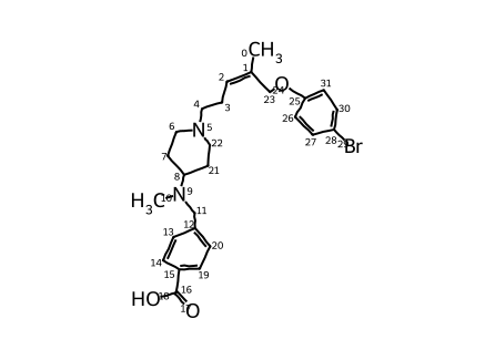 CC(=CCCN1CCC(N(C)Cc2ccc(C(=O)O)cc2)CC1)COc1ccc(Br)cc1